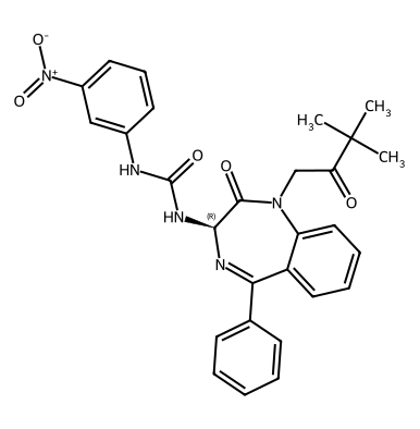 CC(C)(C)C(=O)CN1C(=O)[C@H](NC(=O)Nc2cccc([N+](=O)[O-])c2)N=C(c2ccccc2)c2ccccc21